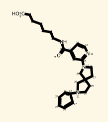 O=C(O)CCCCCCNC(=O)c1ccnc(N2CCC3(CCN(c4ccccc4)C3)C2)c1